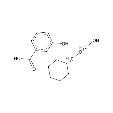 C1CCCCC1.CO.CO.O=C(O)c1cccc(O)c1